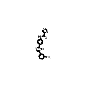 Cc1cccc(-c2nnc(-c3ccc(NC(=O)c4cscn4)cc3)[nH]2)c1